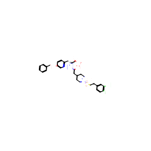 COC(=O)[C@H](Cc1ccc(OCc2ccccc2)cc1)NC(=O)CC1CCN(S(=O)(=O)CCc2ccc(Cl)c(Cl)c2)CC1